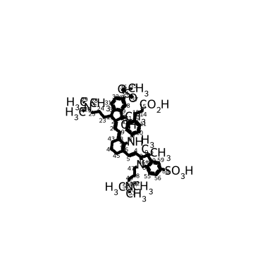 CC1(C)C(/C=C/C2=C(Nc3ccc(CCC(=O)O)cc3)C(=C/C=C3/C(CCC[N+](C)(C)C)c4ccc(S(C)(=O)=O)cc4C3(C)C)/CCC2)=[N+](CCC[N+](C)(C)C)c2ccc(S(=O)(=O)O)cc21